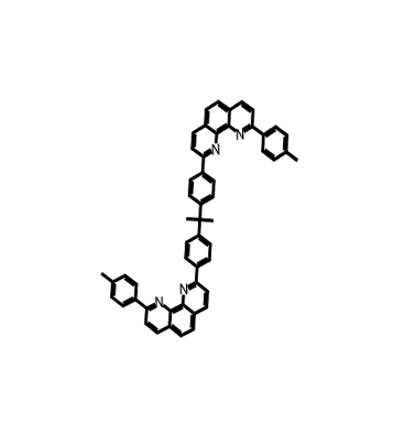 Cc1ccc(-c2ccc3ccc4ccc(-c5ccc(C(C)(C)c6ccc(-c7ccc8ccc9ccc(-c%10ccc(C)cc%10)nc9c8n7)cc6)cc5)nc4c3n2)cc1